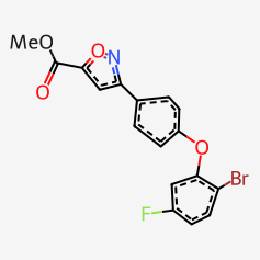 COC(=O)c1cc(-c2ccc(Oc3cc(F)ccc3Br)cc2)no1